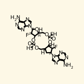 Nc1ncnc2c1ncn2[C@@H]1C[C@@H]2COP(=O)(S)OC3[C@@H](COP(=O)(S)O[C@@H]2C1F)O[C@@H](n1cnc2c(N)ncnc21)[C@H]3F